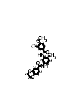 COc1ccc(C(=O)Nc2cc(NC(=O)c3ccc4c(c3)OCCO4)ccc2C)cc1Cl